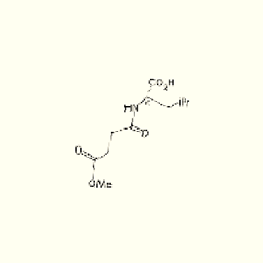 COC(=O)CCC(=O)N[C@@H](CC(C)C)C(=O)O